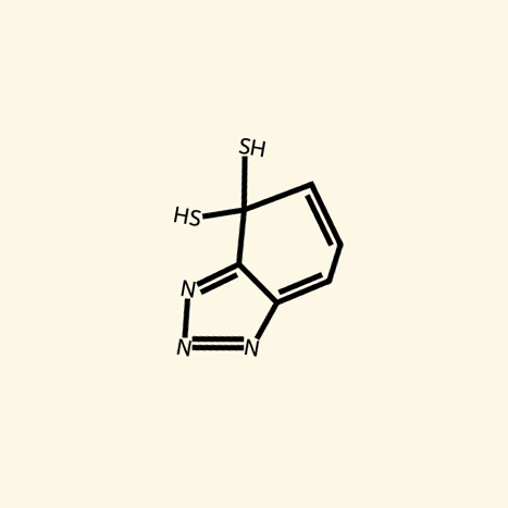 SC1(S)C=CC=C2N=NN=C21